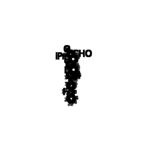 CC(C)C1=C2[C@H]3CC[C@@H]4[C@@]5(C)CC=C(C6=CC[C@](CF)(Cc7ccccc7)CC6)C(C)(C)[C@@H]5CC[C@@]4(C)[C@]3(C)CC[C@@]2(C=O)CC1=O